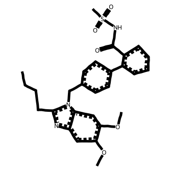 CCCCc1nc2cc(OC)c(OC)cc2n1Cc1ccc(-c2ccccc2C(=O)NS(C)(=O)=O)cc1